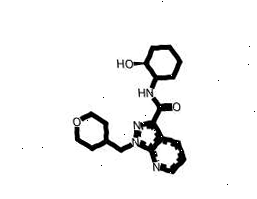 O=C(NC1CCCC[C@@H]1O)c1nn(CC2CCOCC2)c2ncccc12